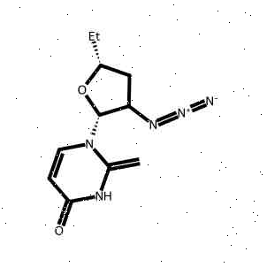 C=C1NC(=O)C=CN1[C@@H]1O[C@H](CC)CC1N=[N+]=[N-]